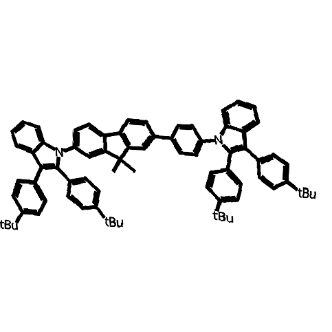 CC(C)(C)c1ccc(-c2c(-c3ccc(C(C)(C)C)cc3)n(-c3ccc(-c4ccc5c(c4)C(C)(C)c4cc(-n6c(-c7ccc(C(C)(C)C)cc7)c(-c7ccc(C(C)(C)C)cc7)c7ccccc76)ccc4-5)cc3)c3ccccc23)cc1